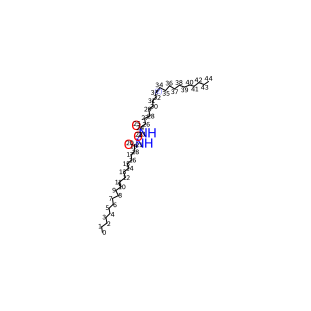 CCCCCCCCCCC=CCCCCCCCC(=O)NONC(=O)CCCCCCC/C=C\CCCCCCCCCC